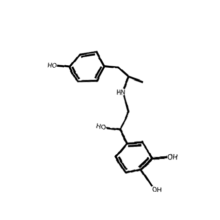 CC(Cc1ccc(O)cc1)NCC(O)c1ccc(O)c(O)c1